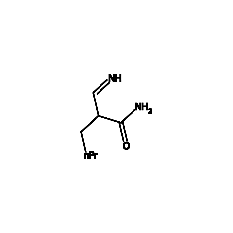 CCCCC(C=N)C(N)=O